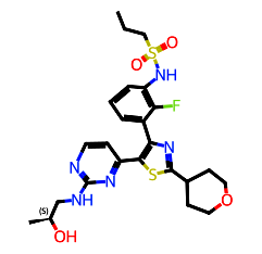 CCCS(=O)(=O)Nc1cccc(-c2nc(C3CCOCC3)sc2-c2ccnc(NC[C@H](C)O)n2)c1F